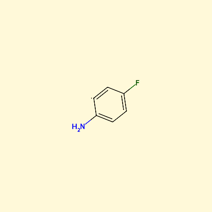 Nc1[c]cc(F)cc1